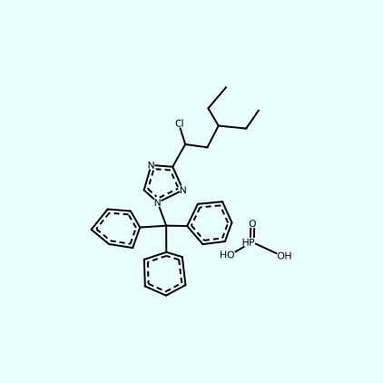 CCC(CC)CC(Cl)c1ncn(C(c2ccccc2)(c2ccccc2)c2ccccc2)n1.O=[PH](O)O